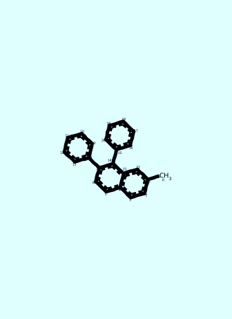 Cc1ccc2ccc(-c3ccccc3)c(-c3[c]cccc3)c2c1